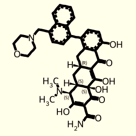 CN(C)[C@@H]1C(O)=C(C(N)=O)C(=O)[C@@]2(O)C(O)=C3C(=O)c4c(O)ccc(-c5ccc(CN6CCOCC6)c6ccccc56)c4C[C@H]3C[C@@H]12